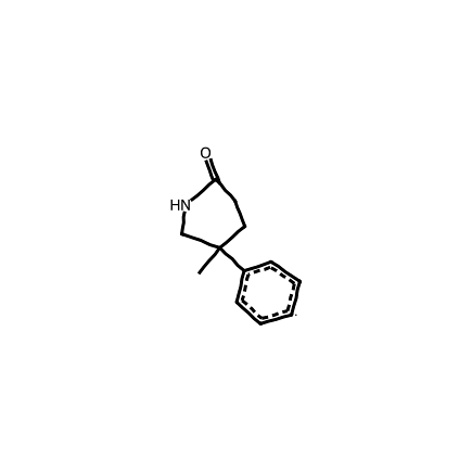 CC1(c2cc[c]cc2)CCC(=O)NC1